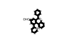 Cc1ccccc1-c1c(C(=O)c2ccccc2)cc(C=O)cc1C1=CCC=CN1